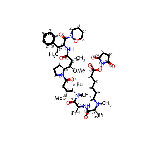 CC[C@H](C)[C@@H]([C@@H](CC(=O)N1CCC[C@H]1[C@H](OC)[C@@H](C)C(=O)N[C@H](C(=O)N1CCCCO1)[C@@H](C)c1ccccc1)OC)N(C)C(=O)[C@@H](NC(=O)[C@H](C(C)C)N(C)CCCCCC(=O)ON1C(=O)CCC1=O)C(C)C